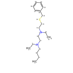 CCCCN(CC)CCN(CC)CCSCc1ccccc1